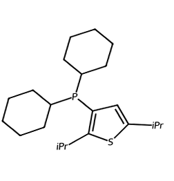 CC(C)c1cc(P(C2CCCCC2)C2CCCCC2)c(C(C)C)s1